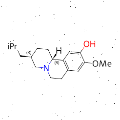 COc1cc2c(cc1O)[C@H]1CC[C@H](CC(C)C)CN1CC2